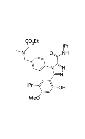 CCOC(=O)CN(C)Cc1ccc(-n2c(C(=O)NC(C)C)nnc2-c2cc(C(C)C)c(OC)cc2O)cc1